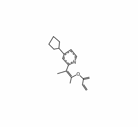 C=CC(=C)O/C(C)=C(/C)c1cc(C2CCCC2)ccn1